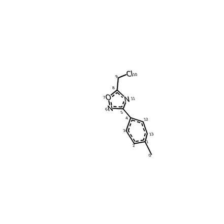 Cc1ccc(-c2noc(CCl)n2)cc1